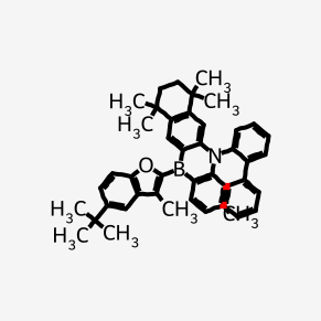 Cc1ccc2c(c1)N(c1ccccc1-c1ccccc1)c1cc3c(cc1B2c1oc2ccc(C(C)(C)C)cc2c1C)C(C)(C)CCC3(C)C